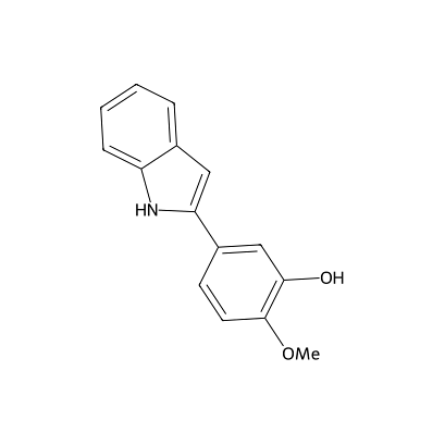 COc1ccc(-c2cc3ccccc3[nH]2)cc1O